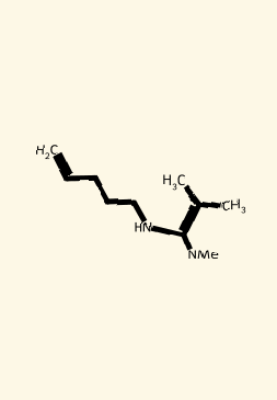 C=CCCCNC(NC)=C(C)C